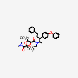 CC(C(CCc1ccccc1)c1ccc(Oc2ccccc2)cc1)N(CC(=O)O)C(=O)C1OC(C(=O)O)(C(=O)N(C)C)OC1C(=O)O